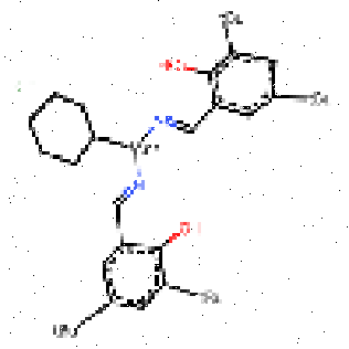 CC(C)(C)c1cc(C=[N][Mn+]([N]=Cc2cc(C(C)(C)C)cc(C(C)(C)C)c2O)[CH]2CCCCC2)c(O)c(C(C)(C)C)c1.[Cl-]